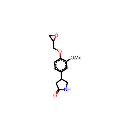 COc1cc(C2CNC(=O)C2)ccc1OCC1CO1